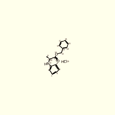 C[C@H](Nc1ccccc1)C(=O)OCc1ccccc1.Cl